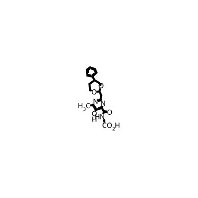 Cc1nc(CC2OCCC(c3ccccc3)CO2)nc(C(=O)NCC(=O)O)c1O